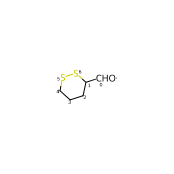 O=[C]C1CCCSS1